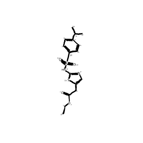 CCOC(=O)Cc1cnc(NS(=O)(=O)c2ccc(C(C)C)cc2)s1